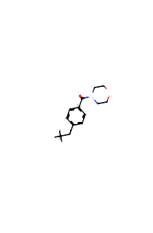 CC(C)(C)Cc1ccc(C(=O)N2CCOCC2)cc1